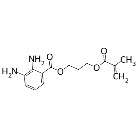 C=C(C)C(=O)OCCCOC(=O)c1cccc(N)c1N